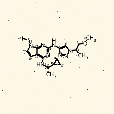 COCC(C)n1cc(Nc2nc(N[C@@H](C)C3CC3)c3ccn(SI)c3n2)nn1